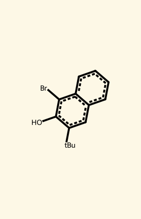 CC(C)(C)c1cc2ccccc2c(Br)c1O